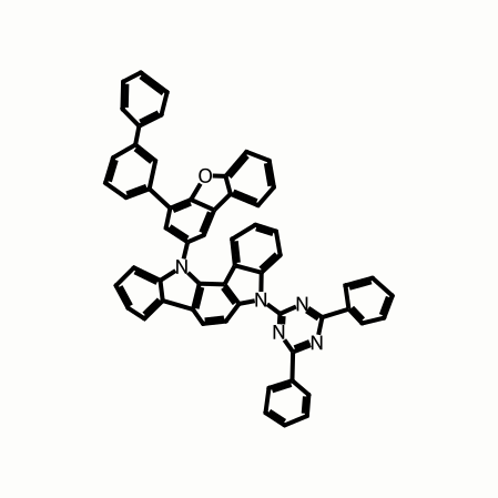 c1ccc(-c2cccc(-c3cc(-n4c5ccccc5c5ccc6c(c7ccccc7n6-c6nc(-c7ccccc7)nc(-c7ccccc7)n6)c54)cc4c3oc3ccccc34)c2)cc1